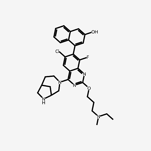 CCN(C)CCCOc1nc(N2CCC3CNC(C3)C2)c2cc(Cl)c(-c3cc(O)cc4ccccc34)c(F)c2n1